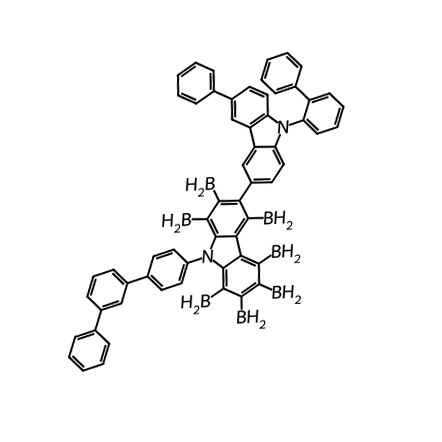 Bc1c(B)c(B)c2c(c1B)c1c(B)c(-c3ccc4c(c3)c3cc(-c5ccccc5)ccc3n4-c3ccccc3-c3ccccc3)c(B)c(B)c1n2-c1ccc(-c2cccc(-c3ccccc3)c2)cc1